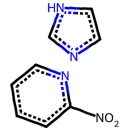 O=[N+]([O-])c1ccccn1.c1c[nH]cn1